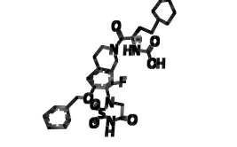 O=C(O)N[C@H](CCC1CCCCC1)C(=O)N1CCc2cc(OCc3ccccc3)c(N3CC(=O)NS3(=O)=O)c(F)c2C1